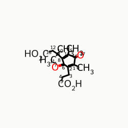 CC1=C(CCC(=O)O)C(=O)C(C(C)(C)CC(=O)O)=C(C)C1=O